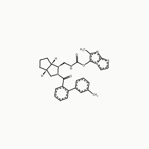 Cc1cccc(-c2ccccc2C(=O)N2C[C@@H]3CCC[C@@H]3[C@H]2CNC(=O)Oc2c(C)nc3sccn23)c1